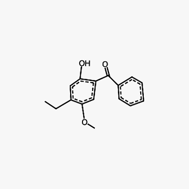 CCc1cc(O)c(C(=O)c2ccccc2)cc1OC